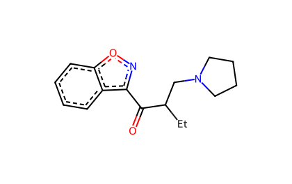 CCC(CN1CCCC1)C(=O)c1noc2ccccc12